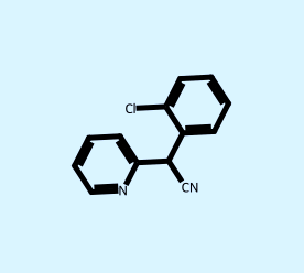 N#CC(c1ccccn1)c1ccccc1Cl